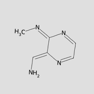 C/N=C1/N=CC=N/C1=C\N